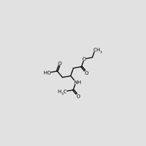 CCOC(=O)CC(CC(=O)O)NC(C)=O